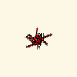 CCCCCCCCCCCCCC(=O)O[C@H](CCCCCCCCCCC)CC(=O)NC1C(OCCN(C(=O)C[C@@H](CCCCCCCCCCC)OC(=O)CCCCCCCCCCCCC)c2cccc(O)c2)OC(CO)C(O[PH](=O)O)C1OC(=O)C[C@@H](CCCCCCCCCCC)OC(=O)CCCCCCCCCCCCC